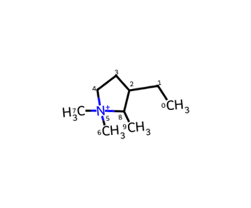 CCC1CC[N+](C)(C)C1C